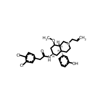 C=CCN1CC[C@@]2(c3cccc(O)c3)C[C@@H](NC(=O)Cc3ccc(Cl)c(Cl)c3)CC(OC)[C@@H]2C1